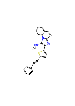 CC(C)(C)Nc1c(-c2ccc(C#Cc3ccccc3)s2)nc2ccc3ccccc3n12